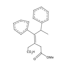 COC(=O)CC(CC(=O)O)=C(c1ccccc1)C(C)c1ccccc1